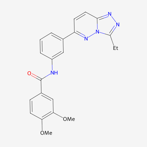 CCc1nnc2ccc(-c3cccc(NC(=O)c4ccc(OC)c(OC)c4)c3)nn12